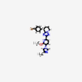 COc1nc(-c2nc3n(n2)CCC[C@@H]3c2ccc(Br)cc2)ccc1-n1cnc(C)c1